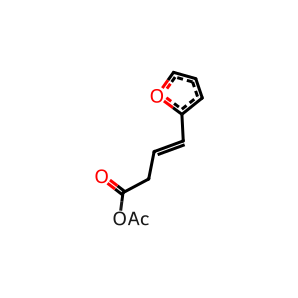 CC(=O)OC(=O)CC=Cc1ccco1